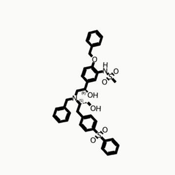 CS(=O)(=O)Nc1cc([C@@H](O)CN(Cc2ccccc2)[C@H](CO)Cc2ccc(S(=O)(=O)c3ccccc3)cc2)ccc1OCc1ccccc1